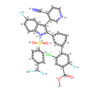 COC(=O)c1cc(Cl)c(-c2cccc(-c3c(-c4cnccc4C#N)c4cc(F)ccc4n3S(=O)(=O)c3ccc(C(F)F)cc3)c2)cc1F